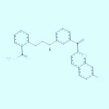 C=C(c1cccc([C@@H](I)CCc2ccccc2C(=O)OC)c1)c1ccc2ccc(Cl)cc2n1